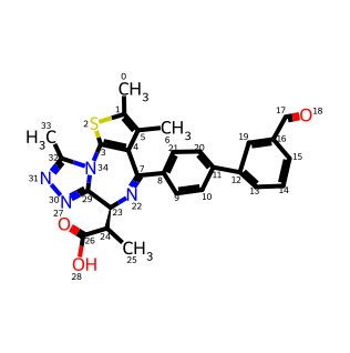 Cc1sc2c(c1C)C(c1ccc(-c3cccc(C=O)c3)cc1)=N[C@@H](C(C)C(=O)O)c1nnc(C)n1-2